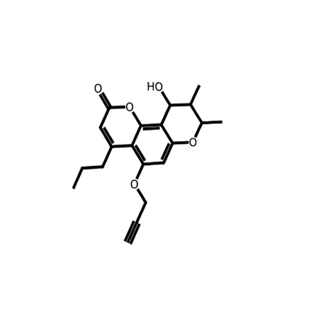 C#CCOc1cc2c(c3oc(=O)cc(CCC)c13)C(O)C(C)C(C)O2